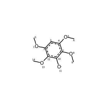 COc1cc(OC)c(OC)c([O])c1OC